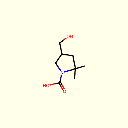 CC1(C)CC(CO)CN1C(=O)O